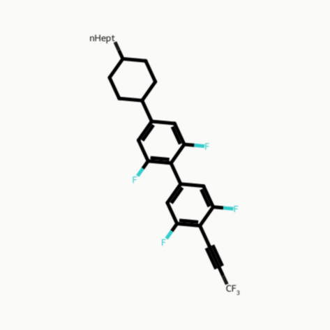 CCCCCCCC1CCC(c2cc(F)c(-c3cc(F)c(C#CC(F)(F)F)c(F)c3)c(F)c2)CC1